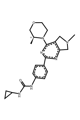 C[C@H]1COCCN1c1nc(-c2ccc(NC(=O)NC3CC3)cc2)nc2c1CN(C)C2